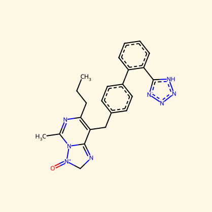 CCCC1=C(Cc2ccc(-c3ccccc3-c3nnn[nH]3)cc2)C2=NC[N+](=O)N2C(C)=N1